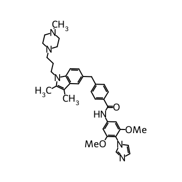 COc1cc(NC(=O)c2ccc(Cc3ccc4c(c3)c(C)c(C)n4CCCN3CCN(C)CC3)cc2)cc(OC)c1-n1ccnc1